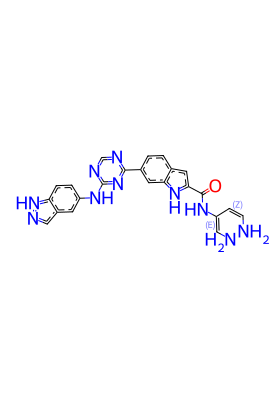 N/C=C\C(=C/N)NC(=O)c1cc2ccc(-c3ncnc(Nc4ccc5[nH]ncc5c4)n3)cc2[nH]1